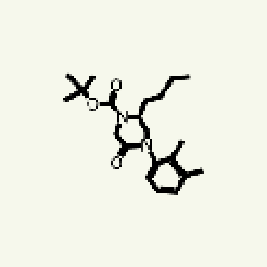 CCCCC1CN(c2cccc(C)c2C)C(=O)CN1C(=O)OC(C)(C)C